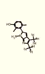 [2H]C([2H])([2H])C1=C(C([2H])([2H])[2H])C2=CC(c3c(C)ccc(O)c3C)N(N)C2=N1